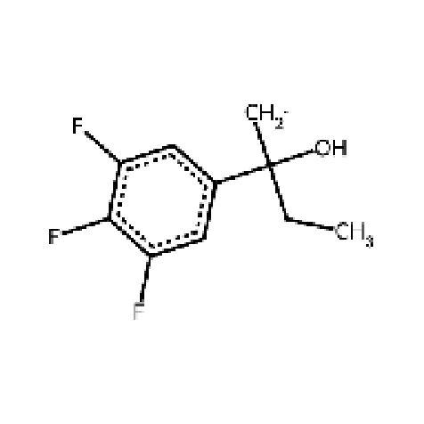 [CH2]C(O)(CC)c1cc(F)c(F)c(F)c1